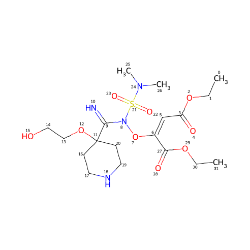 CCOC(=O)C=C(ON(C(=N)C1(OCCO)CCNCC1)S(=O)(=O)N(C)C)C(=O)OCC